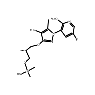 COc1ncc(F)cc1-n1nc(OC[C@@H](C)CO[Si](C)(C)C(C)(C)C)c([N+](=O)[O-])c1C